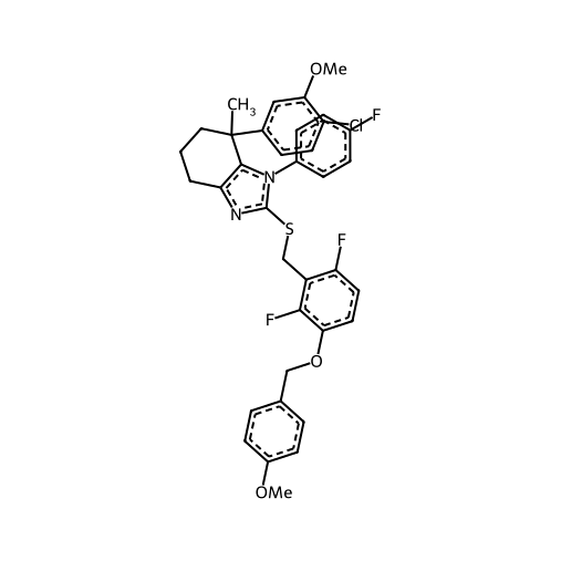 COc1ccc(COc2ccc(F)c(CSc3nc4c(n3-c3ccc(F)cc3)C(C)(c3ccc(Cl)c(OC)c3)CCC4)c2F)cc1